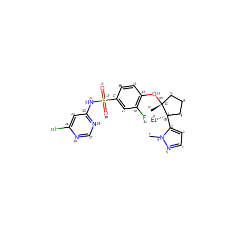 CC[C@@]1(c2ccnn2C)CCC[C@@]1(C)Oc1ccc(S(=O)(=O)Nc2cc(F)ncn2)cc1F